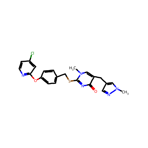 Cn1cc(Cc2cn(C)c(SCc3ccc(Oc4cc(Cl)ccn4)cc3)nc2=O)cn1